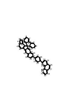 c1ccc2c(c1)-c1ccccc1C21c2cc3cc(-c4ccc(-c5ccc6ccc7cccnc7c6n5)cc4)ccc3cc2-c2ccc3ccccc3c21